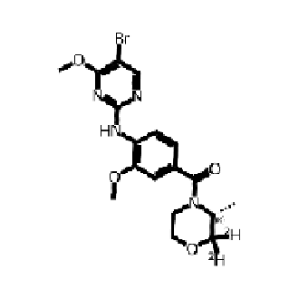 [2H]C1([2H])OCCN(C(=O)c2ccc(Nc3ncc(Br)c(OC)n3)c(OC)c2)[C@@H]1C